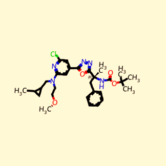 COCCN(CC1CC1C)c1cc(-c2nnc([C@@](C)(Cc3ccccc3)NC(=O)OC(C)(C)C)o2)cc(Cl)n1